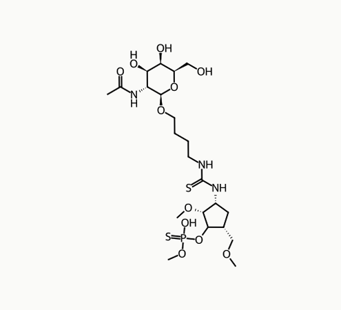 COC[C@H]1C[C@@H](NC(=S)NCCCCO[C@@H]2O[C@H](CO)[C@H](O)[C@H](O)[C@H]2NC(C)=O)[C@@H](OC)C1OP(O)(=S)OC